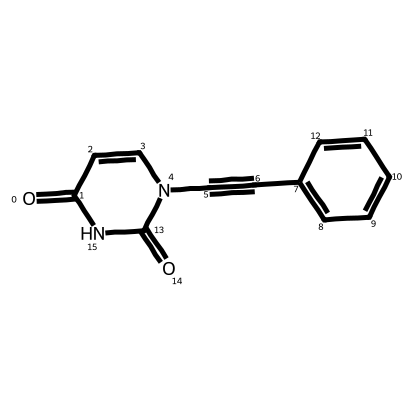 O=c1ccn(C#Cc2ccccc2)c(=O)[nH]1